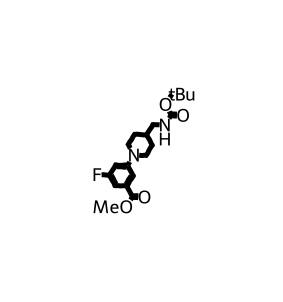 COC(=O)c1cc(F)cc(N2CCC(CNC(=O)OC(C)(C)C)CC2)c1